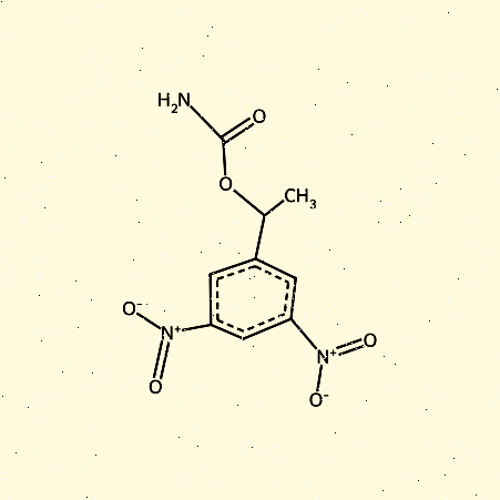 CC(OC(N)=O)c1cc([N+](=O)[O-])cc([N+](=O)[O-])c1